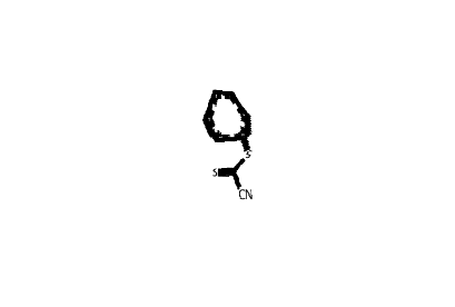 N#CC(=S)Sc1ccccc1